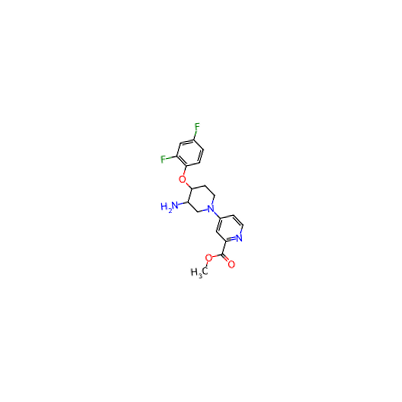 COC(=O)c1cc(N2CCC(Oc3ccc(F)cc3F)C(N)C2)ccn1